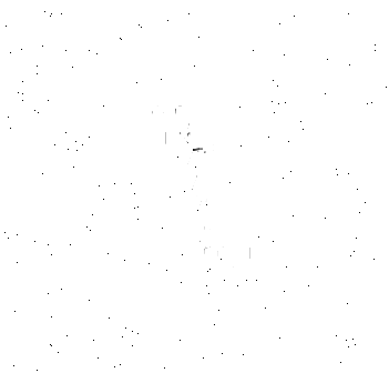 O=C(O)CCCCCCCC(=O)NCC(=O)O